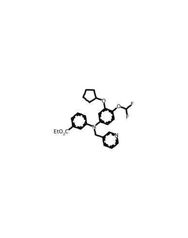 CCOC(=O)c1cccc(N(Cc2cccnc2)c2ccc(OC(F)F)c(OC3CCCC3)c2)c1